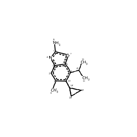 Cc1cc2nc(N)sc2c(C(C)C)c1C1CC1